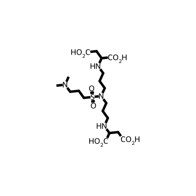 CN(C)CCCS(=O)(=O)N(CCCNC(CC(=O)O)C(=O)O)CCCNC(CC(=O)O)C(=O)O